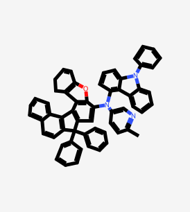 Cc1ccc(N(c2cc3c(c4c5c(oc24)C=CCC5)-c2c(ccc4ccccc24)C3(c2ccccc2)c2ccccc2)c2cccc3c2c2ccccc2n3-c2ccccc2)cn1